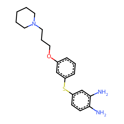 Nc1ccc(Sc2cccc(OCCCN3CCCCC3)c2)cc1N